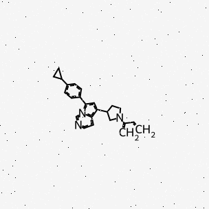 C=CC(=C)N1CCC(c2cc(-c3ccc(C4CC4)cc3)n3cnccc23)C1